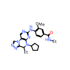 CCNC(=O)c1ccc(Nc2ncc3c(n2)N(C2CCCC2)C(CC)c2nncn2-3)c(OC)c1